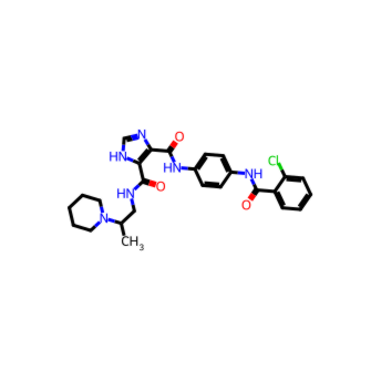 CC(CNC(=O)c1[nH]cnc1C(=O)Nc1ccc(NC(=O)c2ccccc2Cl)cc1)N1CCCCC1